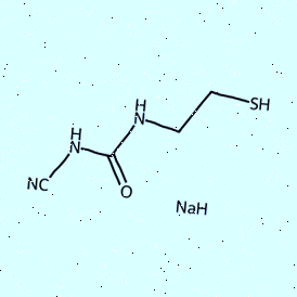 N#CNC(=O)NCCS.[NaH]